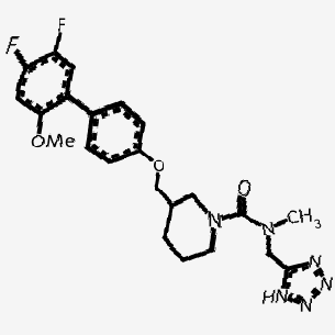 COc1cc(F)c(F)cc1-c1ccc(OCC2CCCN(C(=O)N(C)Cc3nnn[nH]3)C2)cc1